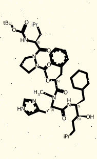 CC(C)CC[C@H](O)[C@H](CC1CCCCC1)NC(=O)[C@H](Cc1c[nH]cn1)N(C)C(=O)[C@H](Cc1ccccc1)OC(=O)N1CCCN1C(=O)[C@H](CC(C)C)NC(=O)OC(C)(C)C